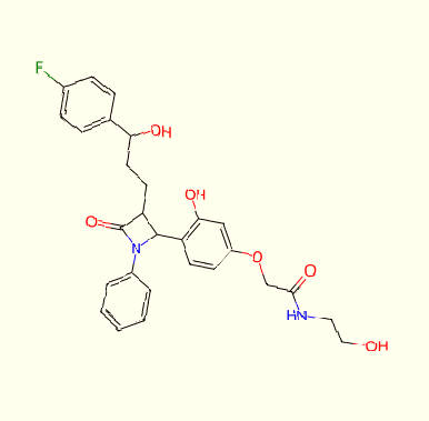 O=C(COc1ccc(C2C(CCC(O)c3ccc(F)cc3)C(=O)N2c2ccccc2)c(O)c1)NCCO